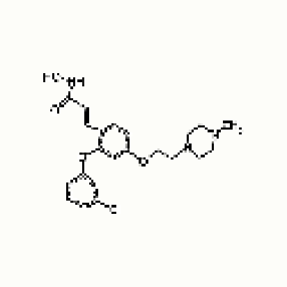 CN1CCN(CCOc2ccc(C=CC(=O)NO)c(Oc3cccc(Cl)c3)c2)CC1